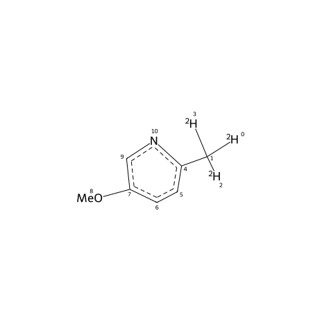 [2H]C([2H])([2H])c1ccc(OC)cn1